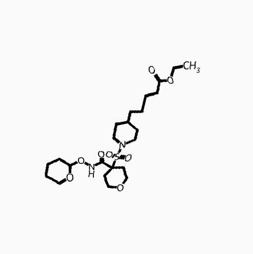 CCOC(=O)CCCCC1CCN(S(=O)(=O)C2(C(=O)NOC3CCCCO3)CCOCC2)CC1